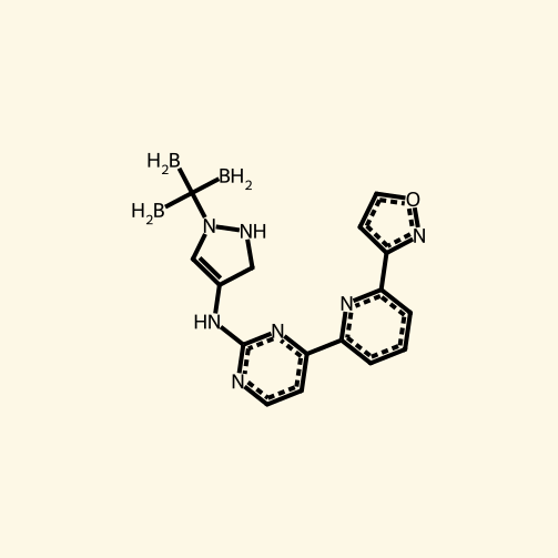 BC(B)(B)N1C=C(Nc2nccc(-c3cccc(-c4ccon4)n3)n2)CN1